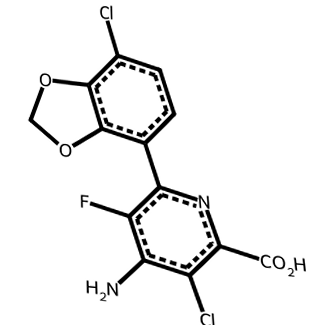 Nc1c(F)c(-c2ccc(Cl)c3c2OCO3)nc(C(=O)O)c1Cl